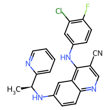 C[C@H](Nc1ccc2ncc(C#N)c(Nc3ccc(F)c(Cl)c3)c2c1)c1ccccn1